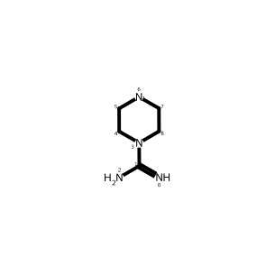 N=C(N)N1CC[N]CC1